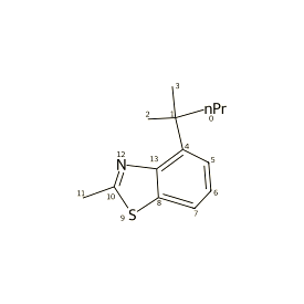 CCCC(C)(C)c1cccc2sc(C)nc12